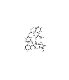 CCC(Cc1ccc(-c2ccccc2S(=O)(=O)Nc2onc(C)c2C)cc1)Nc1ncccc1C(=O)O